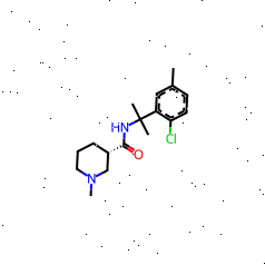 Cc1ccc(Cl)c(C(C)(C)NC(=O)[C@H]2CCCN(C)C2)c1